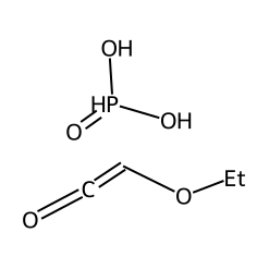 CCOC=C=O.O=[PH](O)O